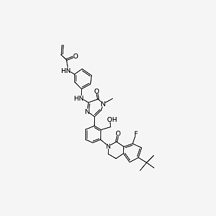 C=CC(=O)Nc1cccc(Nc2nc(-c3cccc(N4CCc5cc(C(C)(C)C)cc(F)c5C4=O)c3CO)cn(C)c2=O)c1